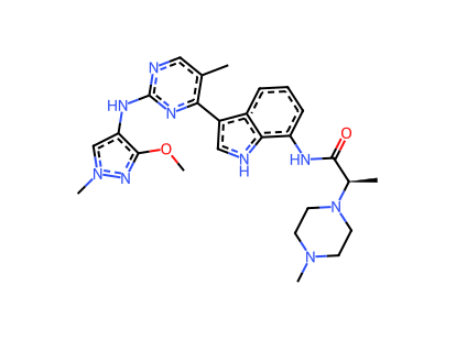 COc1nn(C)cc1Nc1ncc(C)c(-c2c[nH]c3c(NC(=O)[C@@H](C)N4CCN(C)CC4)cccc23)n1